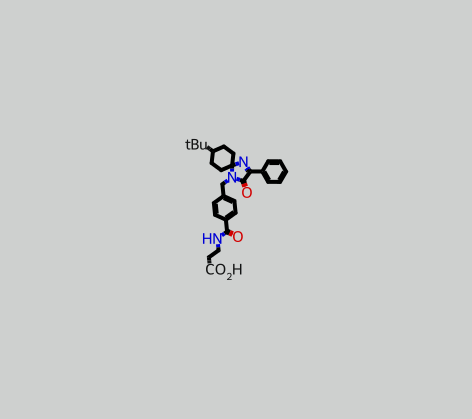 CC(C)(C)C1CCC2(CC1)N=C(c1ccccc1)C(=O)N2Cc1ccc(C(=O)NCCC(=O)O)cc1